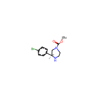 CC(C)(C)OC(=O)N1CCN[C@@](C)(c2ccc(Br)cc2)C1